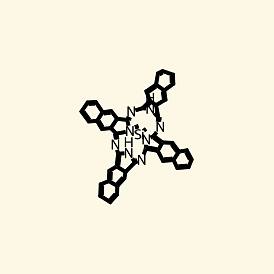 C[Si]1(C)N2/C3=N\C4=C5C=c6ccccc6=CC5/C(=N/c5c6cc7ccccc7cc6c(n51)/N=C1\NC(=C5C=c6ccccc6=CC51)/N=C\2C1C=c2ccccc2=CC31)N4